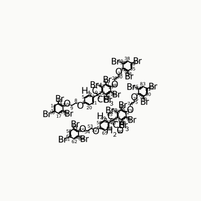 CC(C)(c1ccc(OCCOc2c(Br)cc(Br)cc2Br)cc1)c1c(Br)c(Br)c(OCCOc2c(Br)cc(Br)cc2Br)c(Br)c1Br.CC(C)(c1ccc(OCCOc2c(Br)cc(Br)cc2Br)cc1)c1c(Br)c(Br)c(OCCOc2c(Br)cc(Br)cc2Br)c(Br)c1Br.O